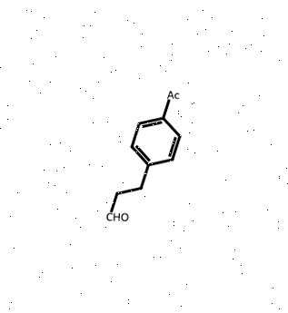 CC(=O)c1ccc(CCC=O)cc1